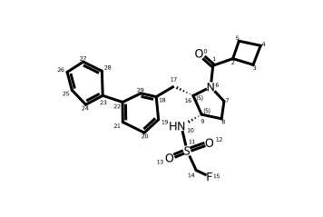 O=C(C1CCC1)N1CC[C@H](NS(=O)(=O)CF)[C@@H]1Cc1cccc(-c2ccccc2)c1